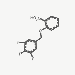 O=C(O)c1ccccc1OCc1cc(F)c(F)c(F)c1